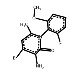 COc1cccc(F)c1-n1c(C)cc(Br)c(N)c1=O